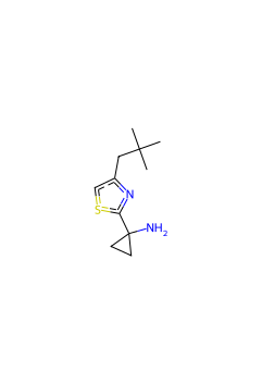 CC(C)(C)Cc1csc(C2(N)CC2)n1